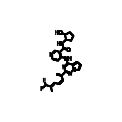 C=C(/C=C\C=C(/C)C(F)F)c1nc(Nc2ccncc2C(=O)NC2CCCC2O)c2cccn2n1